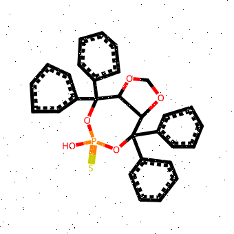 OP1(=S)OC(c2ccccc2)(c2ccccc2)C2OCOC2C(c2ccccc2)(c2ccccc2)O1